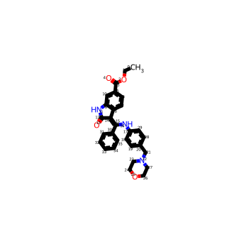 CCOC(=O)c1ccc2c(c1)NC(=O)C2=C(Nc1ccc(CN2CCOCC2)cc1)c1ccccc1